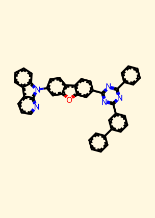 c1ccc(-c2cccc(-c3nc(-c4ccccc4)nc(-c4ccc5c(c4)oc4cc(-n6c7ccccc7c7cccnc76)ccc45)n3)c2)cc1